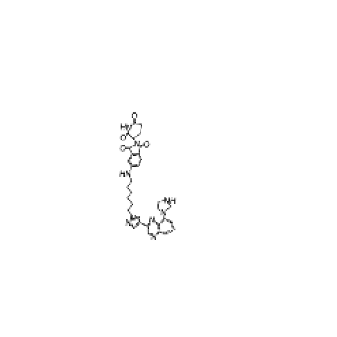 O=C1CCC(N2C(=O)c3ccc(NCCCCCCn4cc(-c5cnc6cccc(N7CCNC7)c6n5)cn4)cc3C2=O)C(=O)N1